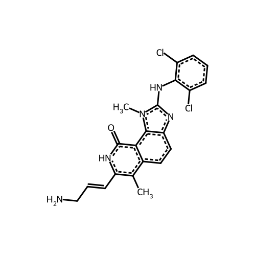 Cc1c(C=CCN)[nH]c(=O)c2c1ccc1nc(Nc3c(Cl)cccc3Cl)n(C)c12